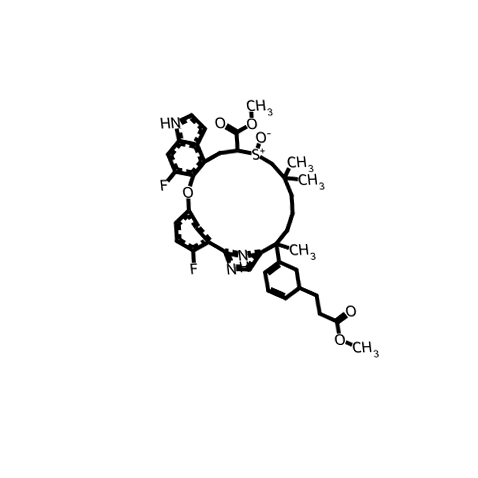 COC(=O)CCC1C=CC=C(C2(C)CCCC(C)(C)C[S+]([O-])C(C(=O)OC)Cc3c(c(F)cc4[nH]ccc34)Oc3ccc(F)c(c3)-c3ncc2[nH]3)C1